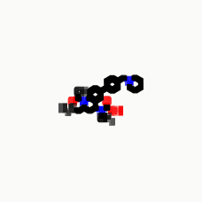 CCC1CC(N(C)C(=O)O)c2cc(-c3ccc(CN4CCCCC4)cc3)ccc2N1C(C)=O